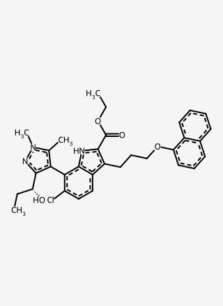 CCOC(=O)c1[nH]c2c(-c3c([C@H](O)CC)nn(C)c3C)c(Cl)ccc2c1CCCOc1cccc2ccccc12